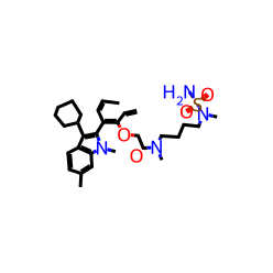 C=C/C(OCC(=O)N(C)CCCCN(C)S(N)(=O)=O)=C(\C=C/C)c1c(C2CCCCC2)c2ccc(C)cc2n1C